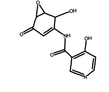 O=C(NC1=CC(=O)C2OC2C1O)c1cnccc1O